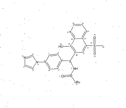 CCCCC(=O)NC(c1ccc(-n2ccnc2)cc1)c1cc(S(C)(=O)=O)c2cccnc2c1O